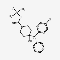 CC(C)(C)OC(=O)N1CCC(O)([C@@H](c2ccccc2)c2ccc(Cl)cn2)CC1